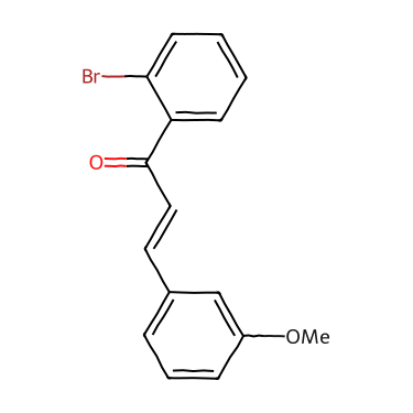 COc1cccc(C=CC(=O)c2ccccc2Br)c1